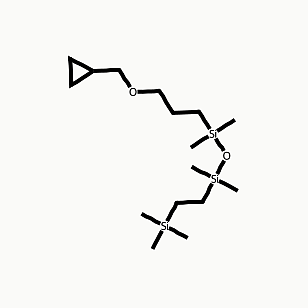 C[Si](C)(C)CC[Si](C)(C)O[Si](C)(C)CCCOCC1CC1